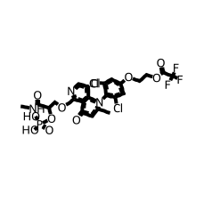 CNC(=O)C(COc1ncc(Cl)c2c1c(=O)cc(C)n2-c1c(Cl)cc(OCCOC(=O)C(F)(F)F)cc1Cl)OP(=O)(O)O